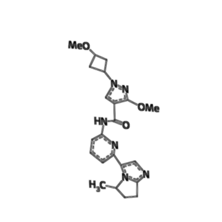 COc1nn(C2CC(OC)C2)cc1C(=O)Nc1cccc(-c2cnc3n2C(C)CC3)n1